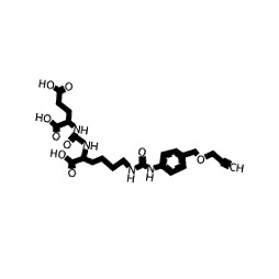 C#CCOCc1ccc(NC(=O)NCCCCC(NC(=O)NC(CCC(=O)O)C(=O)O)C(=O)O)cc1